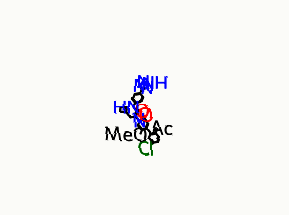 COc1cn(C(CC2CCC2)C(=O)Nc2ccc(-c3nn[nH]n3)cc2)c(=O)cc1-c1cc(Cl)ccc1C(C)=O